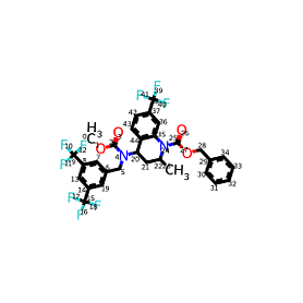 COC(=O)N(Cc1cc(C(F)(F)F)cc(C(F)(F)F)c1)C1CC(C)N(C(=O)OCc2ccccc2)c2cc(C(F)(F)F)ccc21